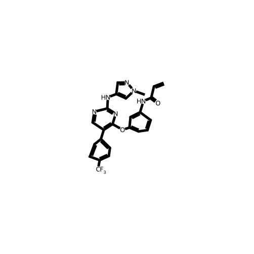 C=CC(=O)Nc1cccc(Oc2nc(Nc3cnn(C)c3)ncc2-c2ccc(C(F)(F)F)cc2)c1